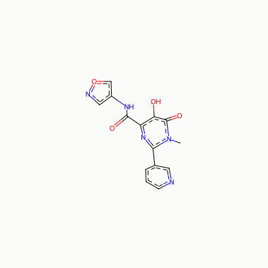 Cn1c(-c2cccnc2)nc(C(=O)Nc2cnoc2)c(O)c1=O